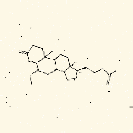 CCC1CC2C(CCC3(C)C2CC[C@@H]3CCOC(C)=O)C2(C)CCC(=O)CC12